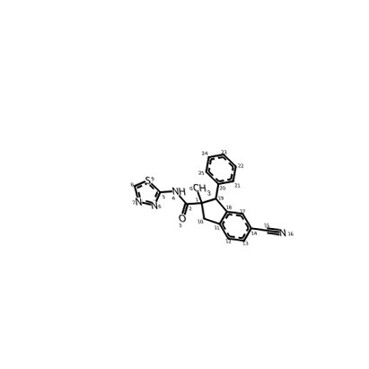 CC1(C(=O)Nc2nncs2)Cc2ccc(C#N)cc2C1c1ccccc1